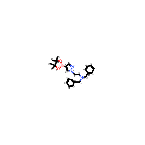 CC1(C)OB(c2cnn(CCN(Cc3ccccc3)Cc3ccccc3)c2)OC1(C)C